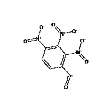 O=[C]c1ccc([N+](=O)[O-])c([N+](=O)[O-])c1[N+](=O)[O-]